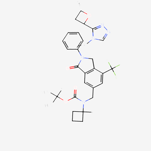 C[C@H]1C[C@](c2cccc(N3Cc4c(cc(CN(C(=O)OC(C)(C)C)C5(C)CCC5)cc4C(F)(F)F)C3=O)c2)(c2nncn2C)O1